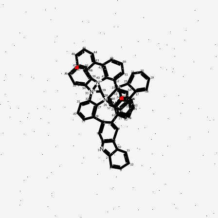 C1=CC2=Nc3cc4c(cc3C2C=C1)-c1ccc2c3ccccc3n3c2c1[N+]1(c2c-4cccc2[N+]24c5ccccc5[N+]2(c2c(-c5ccccc5)cccc2-c2ccccc2)C14)[n+]1ccccc1-3